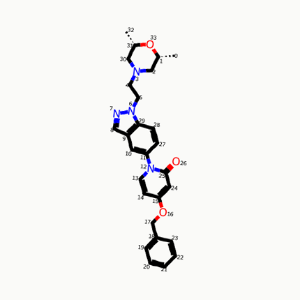 C[C@@H]1CN(CCn2ncc3cc(-n4ccc(OCc5ccccc5)cc4=O)ccc32)C[C@H](C)O1